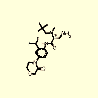 CN(CC(C)(C)C)[C@@H](CN)C(=O)Nc1ccc(N2CCOCC2=O)cc1C(F)F